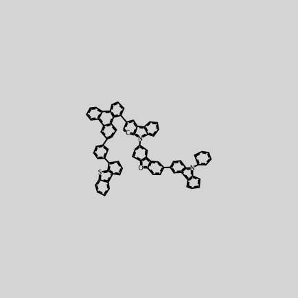 c1ccc(-n2c3ccccc3c3cc(-c4ccc5oc6ccc(-n7c8ccccc8c8cc(-c9cccc%10c%11ccccc%11c%11cc(-c%12cccc(-c%13cccc%14c%13sc%13ccccc%13%14)c%12)ccc%11c9%10)ccc87)cc6c5c4)ccc32)cc1